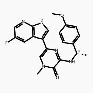 COc1ccc([C@H](C)Nc2nc(-c3c[nH]c4ncc(F)cc34)cn(C)c2=O)cc1